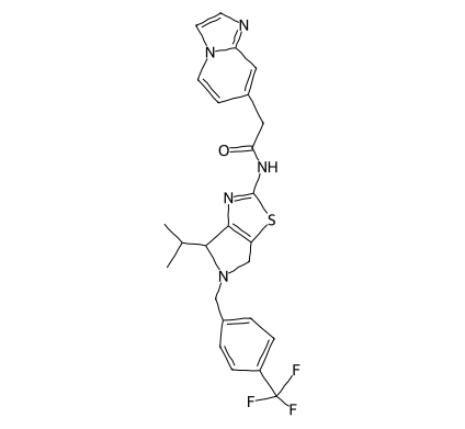 CC(C)C1c2nc(NC(=O)Cc3ccn4ccnc4c3)sc2CN1Cc1ccc(C(F)(F)F)cc1